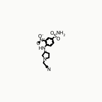 N#CCN1CC[C@@H](Nc2ccc(S(N)(=O)=O)cc2[N+](=O)[O-])C1